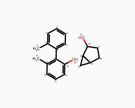 Cc1ccccc1-c1c(C)cccc1O.OC1CCC2CC12